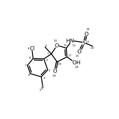 CC1(c2cc(F)ccc2Cl)OC(NS(C)(=O)=O)=C(O)C1=O